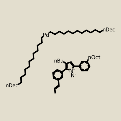 CC=Cc1cccc(C2=C(CCCC)C=C(c3cccc(CCCCCCCC)c3)[N+]2=[N-])c1.CCCCCCCCCCCCCCCCCCCCC[CH2][Pd][CH2]CCCCCCCCCCCCCCCCCCCCC